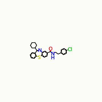 O=C(NCCc1ccc(Cl)cc1)c1ccc2c(c1)N=C(C1CCCCC1)c1ccccc1S2